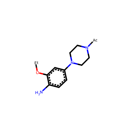 CCOc1cc(N2CCN(C(C)=O)CC2)ccc1N